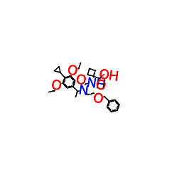 CCOc1cc(C(C)N(CCOCc2ccccc2)C(=O)NC2(C(=O)O)CCC2)cc(OCC)c1C1CC1